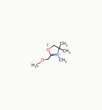 COCC1=[N+](C)C(C)(C)CO1.[I-]